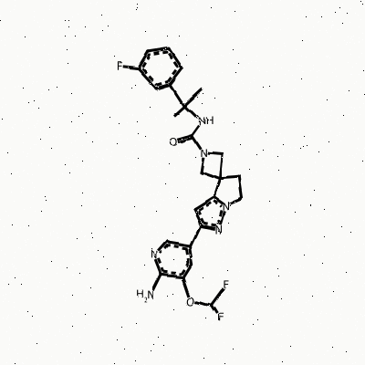 CC(C)(NC(=O)N1CC2(CCn3nc(-c4cnc(N)c(OC(F)F)c4)cc32)C1)c1cccc(F)c1